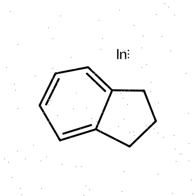 [In].c1ccc2c(c1)CCC2